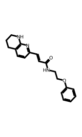 O=C(C=Cc1ccc2c(n1)NCCC2)NCCOc1ccccc1